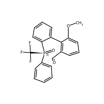 COc1cccc(C=O)c1-c1ccccc1[P@](=O)(c1ccccc1)C(F)(F)F